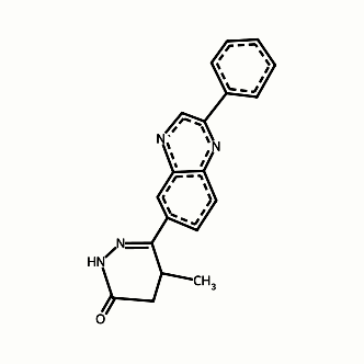 CC1CC(=O)NN=C1c1ccc2nc(-c3ccccc3)cnc2c1